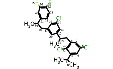 CC(C)c1cc(Cl)cc(CC(C)c2cc(Cl)cc(CC(C)c3ccc(F)c(F)c3)c2)c1Cl